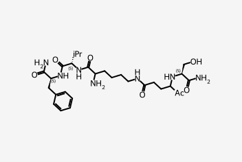 CC(=O)C(CCC(=O)NCCCCC(N)C(=O)N[C@H](C(=O)N[C@@H](Cc1ccccc1)C(N)=O)C(C)C)N[C@@H](CO)C(N)=O